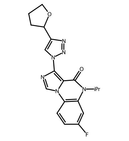 CC(C)n1c(=O)c2c(-n3cc(C4CCCO4)nn3)ncn2c2ccc(F)cc21